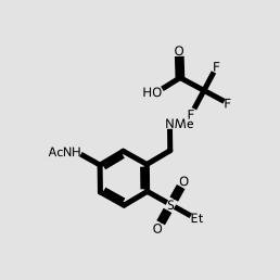 CCS(=O)(=O)c1ccc(NC(C)=O)cc1CNC.O=C(O)C(F)(F)F